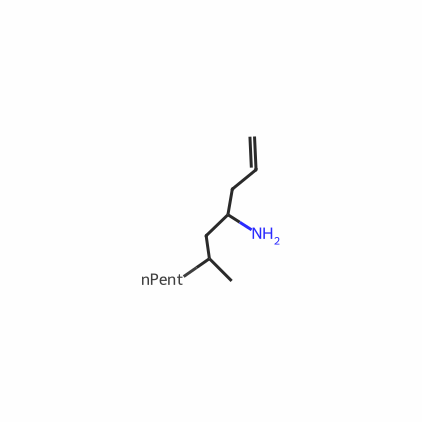 C=CCC(N)CC(C)CCCCC